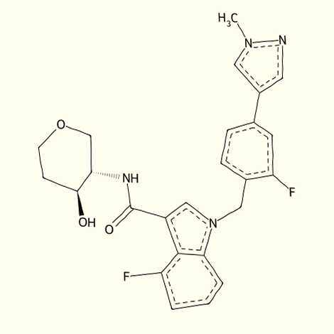 Cn1cc(-c2ccc(Cn3cc(C(=O)N[C@H]4COCC[C@@H]4O)c4c(F)cccc43)c(F)c2)cn1